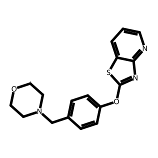 [CH]1CN(Cc2ccc(Oc3nc4ncccc4s3)cc2)CCO1